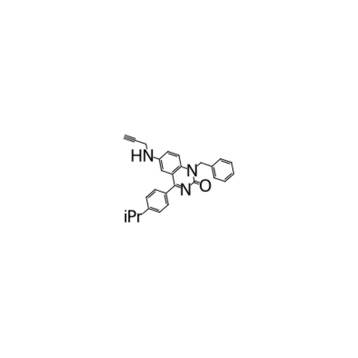 C#CCNc1ccc2c(c1)c(-c1ccc(C(C)C)cc1)nc(=O)n2Cc1ccccc1